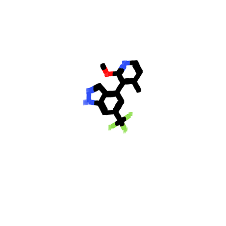 COc1nccc(C)c1-c1cc(C(F)(F)F)cc2[nH]ncc12